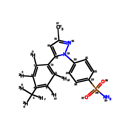 [2H]c1c([2H])c(C([2H])([2H])[2H])c([2H])c([2H])c1-c1cc(C(F)(F)F)nn1-c1ccc(S(N)(=O)=O)cc1